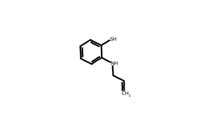 C=CCNc1ccccc1S